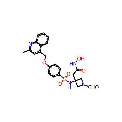 Cc1cc(COc2ccc(S(=O)(=O)NC3(CC(=O)NO)CN(C=O)C3)cc2)c2ccccc2n1